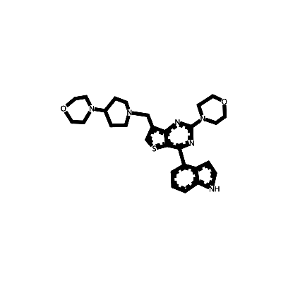 c1cc(-c2nc(N3CCOCC3)nc3c(CN4CCC(N5CCOCC5)CC4)csc23)c2cc[nH]c2c1